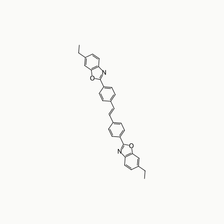 CCc1ccc2nc(-c3ccc(C=Cc4ccc(-c5nc6ccc(CC)cc6o5)cc4)cc3)oc2c1